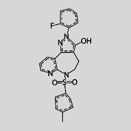 Cc1ccc(S(=O)(=O)N2CCc3c(nn(-c4ccccc4F)c3O)-c3cccnc32)cc1